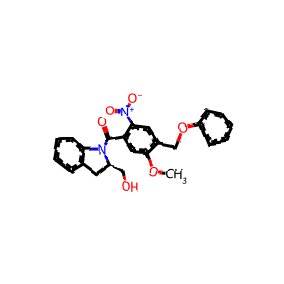 COc1cc(C(=O)N2c3ccccc3C[C@@H]2CO)c([N+](=O)[O-])cc1COc1ccccc1